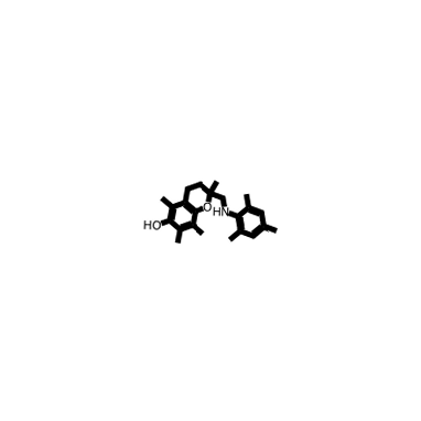 Cc1cc(C)c(NCC2(C)CCc3c(C)c(O)c(C)c(C)c3O2)c(C)c1